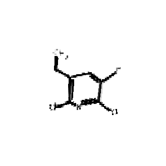 CCc1cc(F)c(Cl)nc1Cl